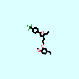 CCc1ccc(OC)c(OCCCc2cc(-c3ccc(C(F)(F)F)cc3)oc2CC)c1